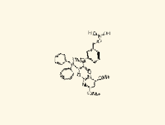 COc1cc(OC)nc(O[C@H](C(=O)Oc2cccc(CON(O)O)c2)C(OC)(c2ccccc2)c2ccccc2)n1